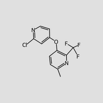 Cc1ccc(Oc2ccnc(Cl)c2)c(C(F)(F)F)n1